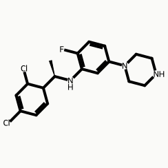 C[C@@H](Nc1cc(N2CCNCC2)ccc1F)C1C=CC(Cl)=CC1Cl